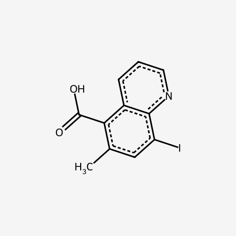 Cc1cc(I)c2ncccc2c1C(=O)O